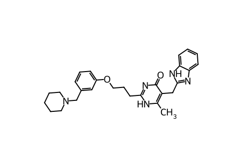 Cc1[nH]c(CCCOc2cccc(CN3CCCCC3)c2)nc(=O)c1Cc1nc2ccccc2[nH]1